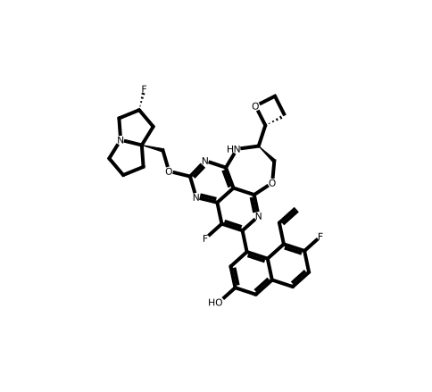 C=Cc1c(F)ccc2cc(O)cc(-c3nc4c5c(nc(OC[C@@]67CCCN6C[C@H](F)C7)nc5c3F)N[C@@H]([C@H]3CCO3)CO4)c12